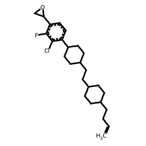 C=CCCC1CCC(CCC2CCC(c3ccc(C4CO4)c(F)c3Cl)CC2)CC1